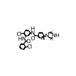 C[C@@H]1CN(c2ccc(C(=O)Nc3ccc(Cl)c(NC(=O)c4ccccc4Cl)c3)cn2)C[C@H](C)N1